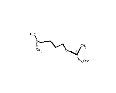 C[C@@H](OCCCN(C)C)C(C)(C)C